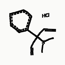 C=CC(C=C)(c1ccccc1)N(C)C.Cl